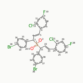 O=S(=O)(C(C=Cc1ccc(F)cc1Cl)c1ccc(Br)cc1)C(C=Cc1ccc(F)cc1Cl)c1ccc(Br)cc1